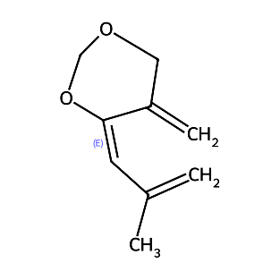 C=C(C)/C=C1/OCOCC1=C